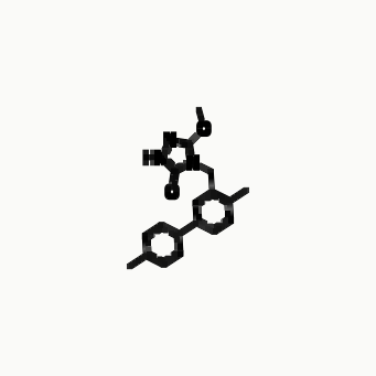 COc1n[nH]c(=O)n1Cc1cc(-c2ccc(C)cc2)ccc1C